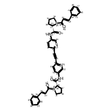 O=C(Nc1ccc(C#Cc2ccc(NC(=O)[C@@H]3CCCN3C(=O)C=Cc3ccccc3)cn2)nc1)[C@@H]1CCCN1C(=O)C=Cc1ccccc1